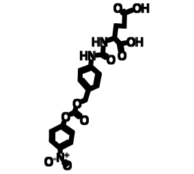 O=C(O)CCC(NC(=O)Nc1ccc(COC(=O)Oc2ccc([N+](=O)[O-])cc2)cc1)C(=O)O